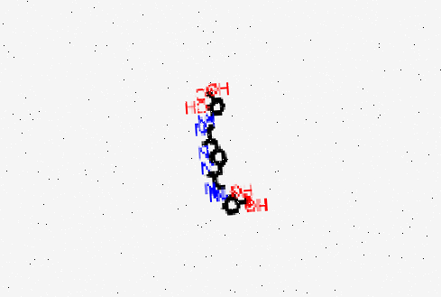 O=C(O)c1cccc(-n2cc(-c3cnc4c(ccc5cc(-c6cn(-c7cccc(C(=O)O)c7O)nn6)cnc54)c3)nn2)c1O